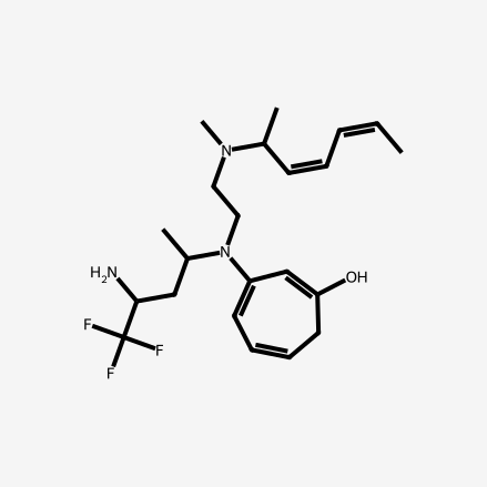 C/C=C\C=C/C(C)N(C)CCN(C1=CC=CCC(O)=C1)C(C)CC(N)C(F)(F)F